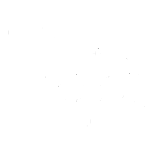 C=C(Sc1sc2c(sc3sc(-c4cc(C)co4)cc32)c1C)c1cc(C)co1